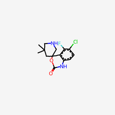 CC1(C)CNCC2(C1)OC(=O)Nc1ccc(Cl)c(F)c12